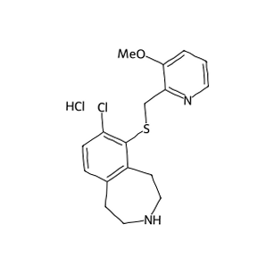 COc1cccnc1CSc1c(Cl)ccc2c1CCNCC2.Cl